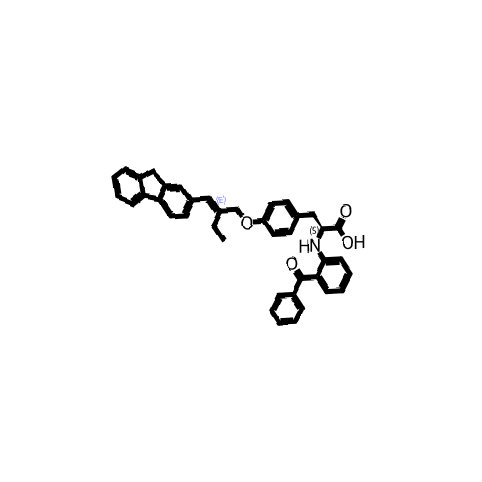 CC/C(=C\c1ccc2c(c1)Cc1ccccc1-2)COc1ccc(C[C@H](Nc2ccccc2C(=O)c2ccccc2)C(=O)O)cc1